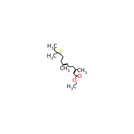 CCOC(=O)C=C(C)CCC=C(C)CCC1SC1(C)CC